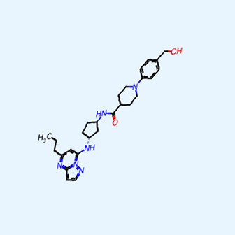 CCCc1cc(N[C@@H]2CC[C@@H](NC(=O)C3CCN(c4ccc(CO)cc4)CC3)C2)n2nccc2n1